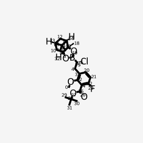 COc1c(C[C@@H](Cl)B2O[C@@H]3C[C@@H]4C[C@@H](C4(C)C)[C@]3(C)O2)ccc(F)c1C(=O)OC(C)(C)C